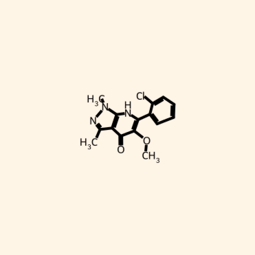 COc1c(-c2ccccc2Cl)[nH]c2c(c(C)nn2C)c1=O